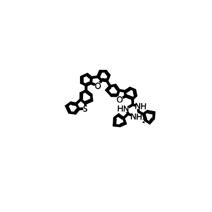 NC(NC(NCc1ccccc1)c1cccc2c1oc1ccc(-c3cccc4c3oc3c(-c5ccc6sc7ccccc7c6c5)cccc34)cc12)c1ccccc1